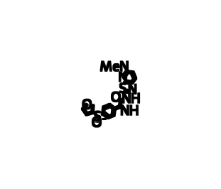 CNc1ccc2nc(NC(=O)C(=N)c3ccc([S+]([O-])[C@H]4CCOC4)cc3)sc2n1